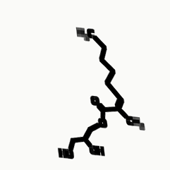 CCCCCC=C(C)C(=O)OCC(O)CO